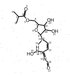 CC(C)C(=O)OCC1OC(N(C)/C=C\C(=N/C=O)NO)C(O)C1O